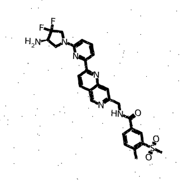 Cc1ccc(C(=O)NCc2cc3nc(-c4cccc(N5C[C@@H](N)C(F)(F)C5)n4)ccc3cn2)cc1S(C)(=O)=O